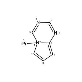 CC(C)[N+]12C=CC=C1N=CN=C2